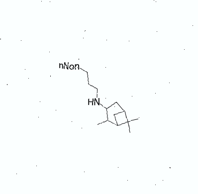 CCCCCCCCCCCCNC1CC2CC(C1C)C2(C)C